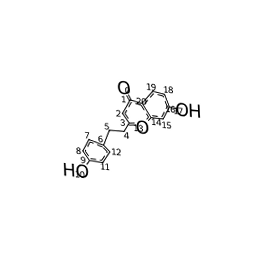 O=c1cc(CCc2ccc(O)cc2)oc2cc(O)ccc12